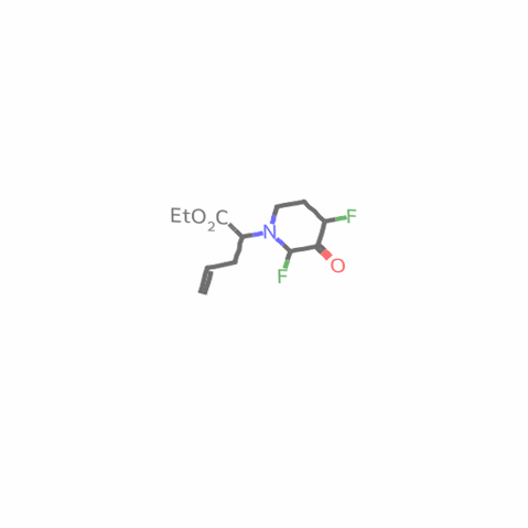 C=CCC(C(=O)OCC)N1CCC(F)C(=O)C1F